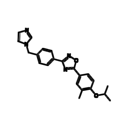 Cc1cc(-c2nc(-c3ccc(Cn4ccnc4)cc3)no2)ccc1OC(C)C